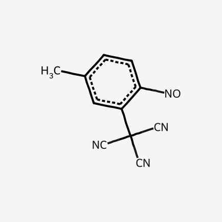 Cc1ccc(N=O)c(C(C#N)(C#N)C#N)c1